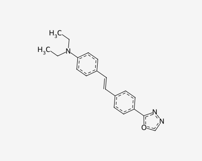 CCN(CC)c1ccc(C=Cc2ccc(-c3nnco3)cc2)cc1